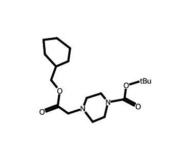 CC(C)(C)OC(=O)N1CCN(CC(=O)OCC2CCCCC2)CC1